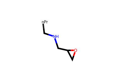 CCCCNCC1CO1